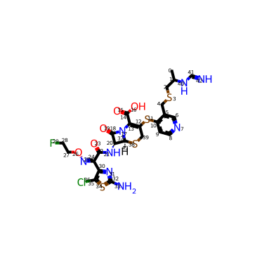 CC(CSCc1cnccc1SC1=C(C(=O)O)N2C(=O)[C@@H](NC(=O)/C(=N\OCCF)c3nc(N)sc3Cl)[C@@H]2SC1)NC=N